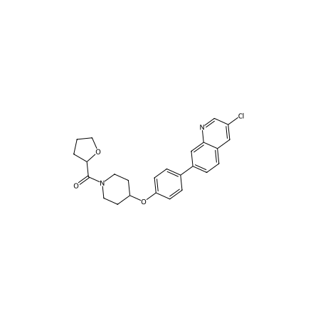 O=C(C1CCCO1)N1CCC(Oc2ccc(-c3ccc4cc(Cl)cnc4c3)cc2)CC1